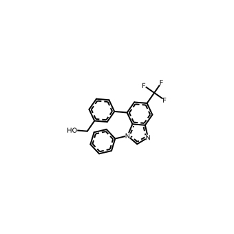 OCc1cccc(-c2cc(C(F)(F)F)cc3ncn(-c4ccccc4)c23)c1